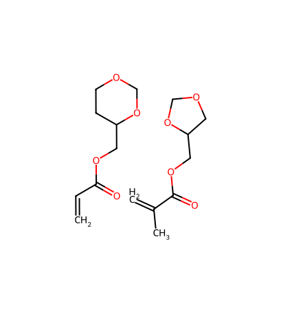 C=C(C)C(=O)OCC1COCO1.C=CC(=O)OCC1CCOCO1